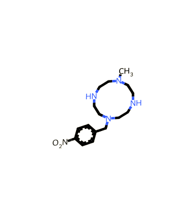 CN1CCNCCN(Cc2ccc([N+](=O)[O-])cc2)CCNCC1